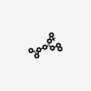 CC1(C)c2ccccc2-c2ccc(N(c3ccc(-c4ccc5c(c4)c4ccccc4n5-c4ccccc4)cc3)c3cccc(-c4cccc5ccccc45)c3)cc21